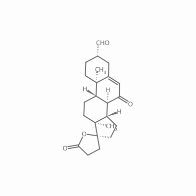 C[C@]12CC[C@H](C=O)CC1=CC(=O)[C@@H]1[C@@H]2CC[C@@]2(C)[C@H]1CC[C@@]21CCC(=O)O1